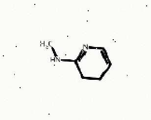 CNC1=NC=CCC1